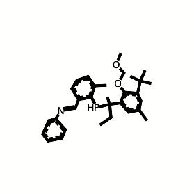 CCC(C)(Pc1c(C)cccc1/C=N/c1ccccc1)c1cc(C)cc(C(C)(C)C)c1OCOC